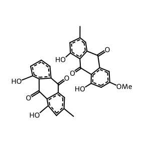 COc1cc(O)c2c(c1)C(=O)c1cc(C)cc(O)c1C2=O.Cc1cc(O)c2c(c1)C(=O)c1cccc(O)c1C2=O